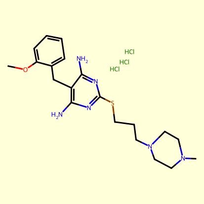 COc1ccccc1Cc1c(N)nc(SCCCN2CCN(C)CC2)nc1N.Cl.Cl.Cl